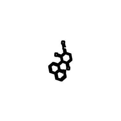 O=C=C1CCC(=O)C(c2cccc3cccnc23)C1=O